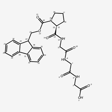 O=C(O)CNC(=O)CNC(=O)CNC(=O)[C@@H]1CCCN1C(=O)OCC1c2ccccc2-c2ccccc21